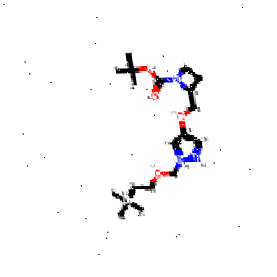 CC(C)(C)OC(=O)N1CCC1COc1cnn(COCC[Si](C)(C)C)c1